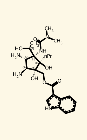 CCC[C@@]1(O)[C@](NC(=O)N(C)C)([C@H](C)O)[C@@H](N)[C@H](N)[C@]1(O)COC(=O)c1c[nH]c2ccccc12